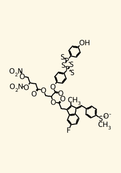 CC1=C(CC(=O)OC(COC(=O)CC(CO[N+](=O)[O-])O[N+](=O)[O-])C(=O)Oc2ccc(P3(=S)SP(=S)(c4ccc(O)cc4)S3)cc2)c2cc(F)ccc2/C1=C\c1ccc([S+](C)[O-])cc1